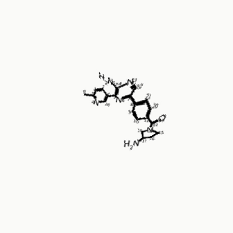 Cc1ccc(-c2nc(-c3ccc(C(=O)N4CCC(N)C4)cc3)cnc2N)cn1